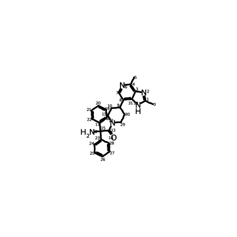 Cc1nc2c(C)ncc(C3CCN(C(=O)C(N)(c4ccccc4)c4ccccc4)CC3)c2[nH]1